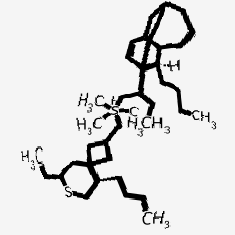 CCCC[C@H]1CSC(CC)CC12CC(C[SH](C)(C)(C)CC(CC)C13C=CC4CC1CCCC4[C@H]3CCCC)C2